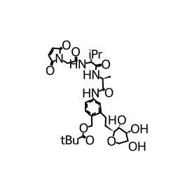 CC(C)[C@H](NC(=O)CN1C(=O)C=CC1=O)C(=O)N[C@@H](C)C(=O)Nc1ccc(COC(=O)C(C)(C)C)c(CC[C@@H]2OC[C@@H](O)[C@H](O)[C@H]2O)c1